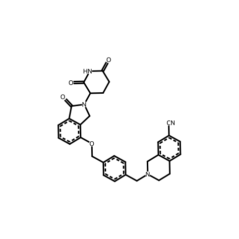 N#Cc1ccc2c(c1)CN(Cc1ccc(COc3cccc4c3CN(C3CCC(=O)NC3=O)C4=O)cc1)CC2